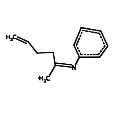 [CH2]C(CCC=C)=Nc1ccccc1